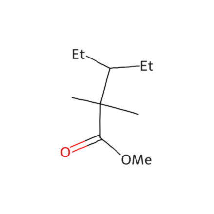 CCC(CC)C(C)(C)C(=O)OC